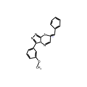 COc1cccc(-c2nnc3n2N=C/C(=C/c2ccccc2)S3)c1